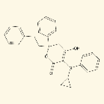 O=C1OC(CCc2ccccc2)(c2ccccc2)CC(O)=C1N(c1ccccc1)C1CC1